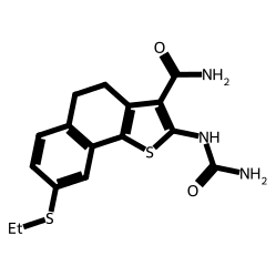 CCSc1ccc2c(c1)-c1sc(NC(N)=O)c(C(N)=O)c1CC2